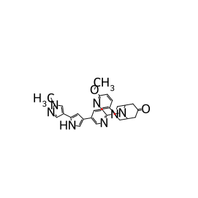 COc1ccc(CN2C3CC(=O)CC2CN(c2ccc(-c4c[nH]c(-c5cnn(C)c5)c4)cn2)C3)cn1